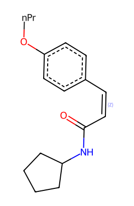 CCCOc1ccc(/C=C\C(=O)NC2CCCC2)cc1